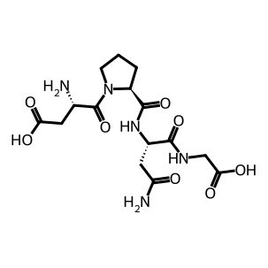 NC(=O)C[C@H](NC(=O)[C@@H]1CCCN1C(=O)[C@@H](N)CC(=O)O)C(=O)NCC(=O)O